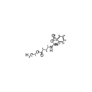 CCOC(=O)CCCNc1nc2ccccc2c(=O)o1